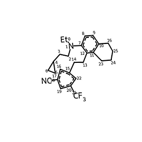 CCN(CCC1CC1)c1ccc2c(c1CCc1cc(C#N)cc(C(F)(F)F)c1)CCCC2